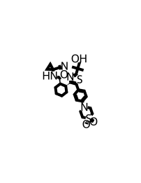 CC(C)(CO)c1nc([C@@H]2CCCC[C@H]2C(=O)NC2(C#N)CC2)c(-c2ccc(N3CCS(=O)(=O)CC3)cc2)s1